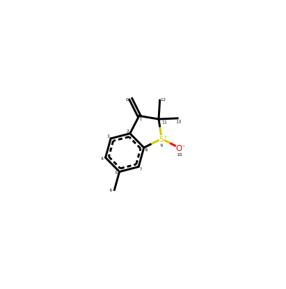 C=C1c2ccc(C)cc2[S+]([O-])C1(C)C